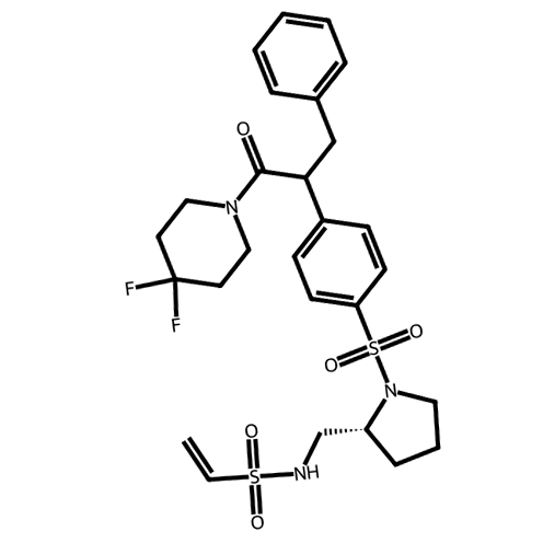 C=CS(=O)(=O)NC[C@H]1CCCN1S(=O)(=O)c1ccc(C(Cc2ccccc2)C(=O)N2CCC(F)(F)CC2)cc1